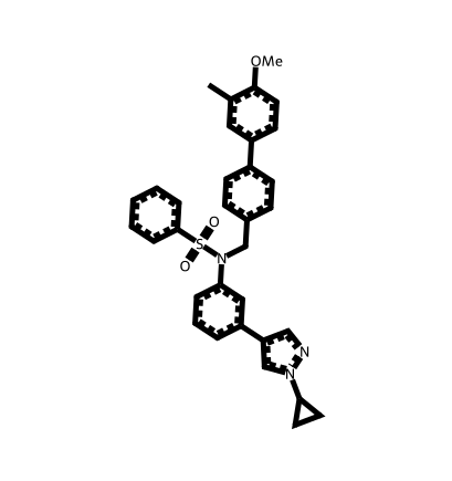 COc1ccc(-c2ccc(CN(c3cccc(-c4cnn(C5CC5)c4)c3)S(=O)(=O)c3ccccc3)cc2)cc1C